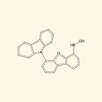 OBc1cccc2c1oc1c(-n3c4ccccc4c4ccccc43)cccc12